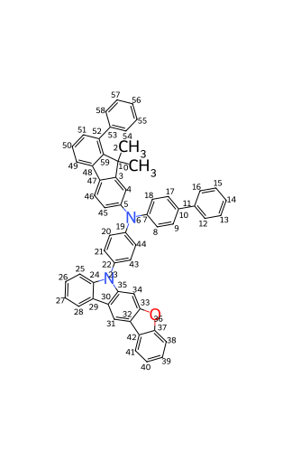 CC1(C)c2cc(N(c3ccc(-c4ccccc4)cc3)c3ccc(-n4c5ccccc5c5cc6c(cc54)oc4ccccc46)cc3)ccc2-c2cccc(-c3ccccc3)c21